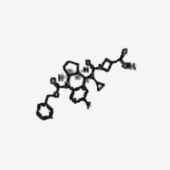 O=C(O)C1CN(C(=O)N(C2CC2)[C@H]2c3cc(F)ccc3N(C(=O)OCc3ccccc3)[C@H]3CCC[C@H]32)C1